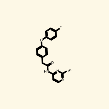 CCCc1nccc(NC(=O)Cc2ccc(Oc3ccc(F)cc3)cc2)n1